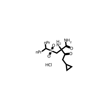 CCCC(CCC)S(=O)(=O)CC(N)(C(N)=O)C(=O)CC1CC1.Cl